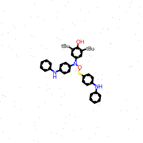 CC(C)(C)c1cc(N(OSc2ccc(Nc3ccccc3)cc2)c2ccc(Nc3ccccc3)cc2)cc(C(C)(C)C)c1O